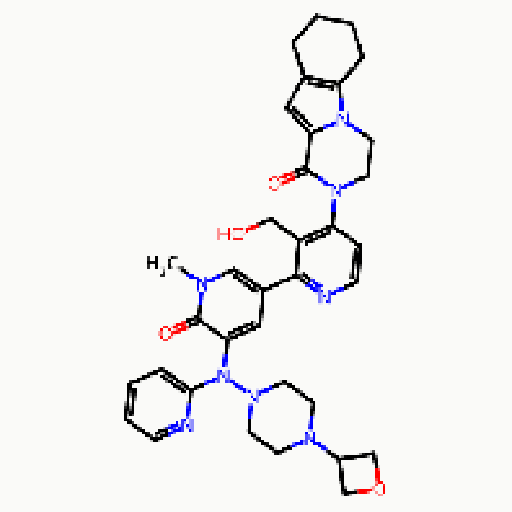 Cn1cc(-c2nccc(N3CCn4c(cc5c4CCCC5)C3=O)c2CO)cc(N(c2ccccn2)N2CCN(C3COC3)CC2)c1=O